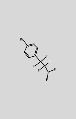 FC(F)C(F)(F)C(F)(F)c1ccc(Br)cc1